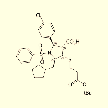 CC(C)(C)OC(=O)CCS[C@H]1[C@@H](C(=O)O)[C@H](c2ccc(Cl)cc2)N(S(=O)(=O)c2ccccc2)[C@@H]1CC1CCCC1